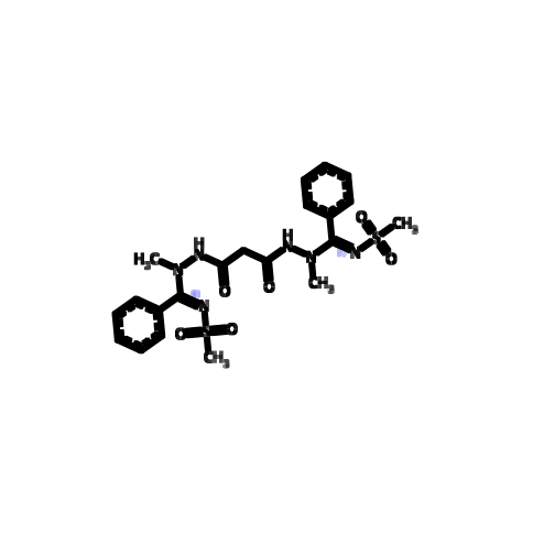 CN(NC(=O)CC(=O)NN(C)/C(=N/S(C)(=O)=O)c1ccccc1)/C(=N/S(C)(=O)=O)c1ccccc1